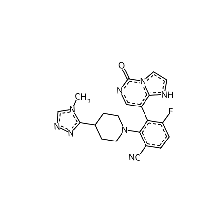 Cn1cnnc1C1CCN(c2c(C#N)ccc(F)c2-c2cnc(=O)n3cc[nH]c23)CC1